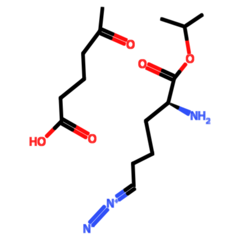 CC(=O)CCCC(=O)O.CC(C)OC(=O)[C@@H](N)CCCC=[N+]=[N-]